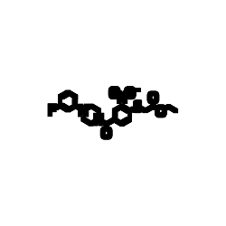 CCOC(=O)CSc1ccc(C(=O)N2CCN(c3cccc(F)c3)CC2)cc1[N+](=O)[O-]